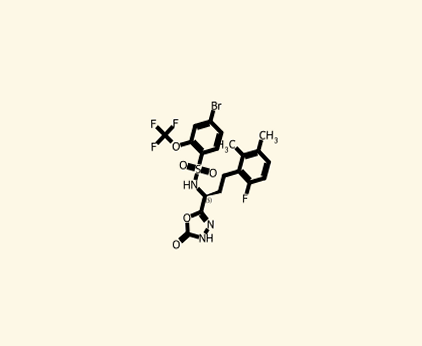 Cc1ccc(F)c(CC[C@H](NS(=O)(=O)c2ccc(Br)cc2OC(F)(F)F)c2n[nH]c(=O)o2)c1C